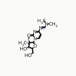 CN(C)/C=N/c1ccn([C@@H]2OC(CO)[C@@H](O)[C@@]2(C)F)c(=O)n1